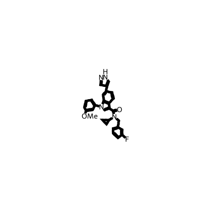 COc1cccc(-n2cc(C(=O)N(Cc3cccc(F)c3)C3CC3)c3ccc(-c4cn[nH]c4)cc32)c1